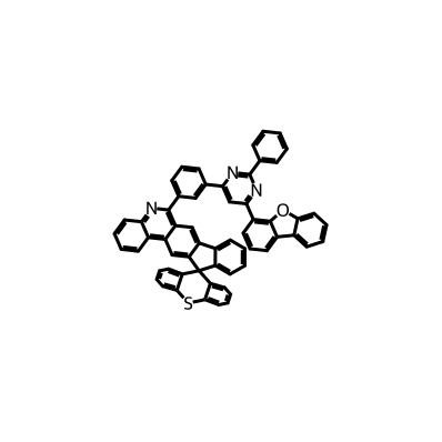 c1ccc(-c2nc(-c3cccc(-c4nc5ccccc5c5cc6c(cc45)-c4ccccc4C64c5ccccc5Sc5ccccc54)c3)cc(-c3cccc4c3oc3ccccc34)n2)cc1